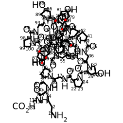 NCCCC[C@H](NC(=O)[C@@H]1C[C@@H](O)CN1C(=O)CNC(=O)[C@@H]1CCCN1C(=O)[C@@H]1C[C@@H](O)CN1C(=O)CNC(=O)[C@@H]1CCCN1C(=O)[C@@H]1C[C@@H](O)CN1C(=O)CNC(=O)[C@@H]1CCCN1C(=O)[C@@H]1C[C@@H](O)CN1C(=O)CNC(=O)[C@@H]1CCCN1C(=O)[C@@H]1C[C@@H](O)CN1C(=O)CNC(=O)[C@@H]1CCCN1C(=O)[C@@H]1C[C@@H](O)CN1C(=O)CNC(=O)[C@@H]1CCCN1C(=O)[C@@H]1C[C@@H](O)CN1)C(=O)NCC(=O)O